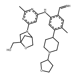 Cc1nc(Nc2cc(C3CCN(C4CCOC4)CC3)c(C)cc2C=N)cc(N2CC3(CO)CC2CO3)n1